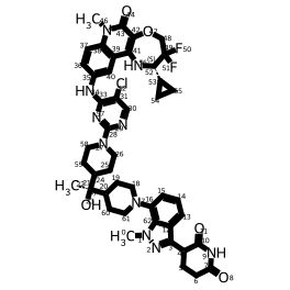 Cn1nc(C2CCC(=O)NC2=O)c2cccc(N3CCC([C@@](C)(O)C4CCN(c5ncc(Cl)c(Nc6ccc7c(c6)c6c(c(=O)n7C)OCC(F)(F)[C@H](C7CC7)N6)n5)CC4)CC3)c21